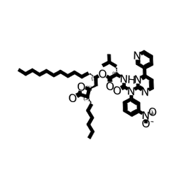 CCCCCCCCCCC[C@@H](C[C@@H]1OC(=O)[C@H]1CCCCCC)OC(=O)[C@H](CC(C)C)NC(=O)N(c1cccc([N+](=O)[O-])c1)c1nccc(-c2cccnc2)n1